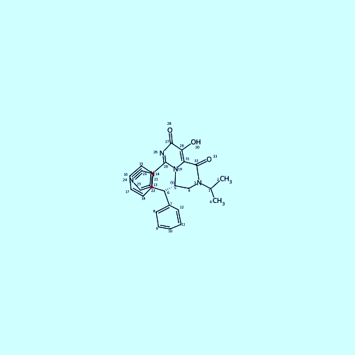 CC(C)N1C[C@H](C(c2ccccc2)c2ccccc2)n2c(-n3ccnc3)nc(=O)c(O)c2C1=O